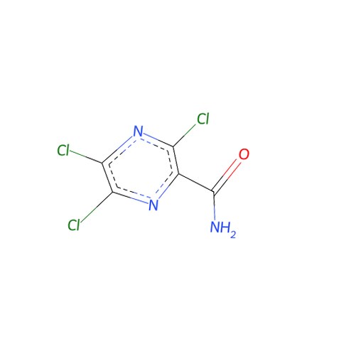 NC(=O)c1nc(Cl)c(Cl)nc1Cl